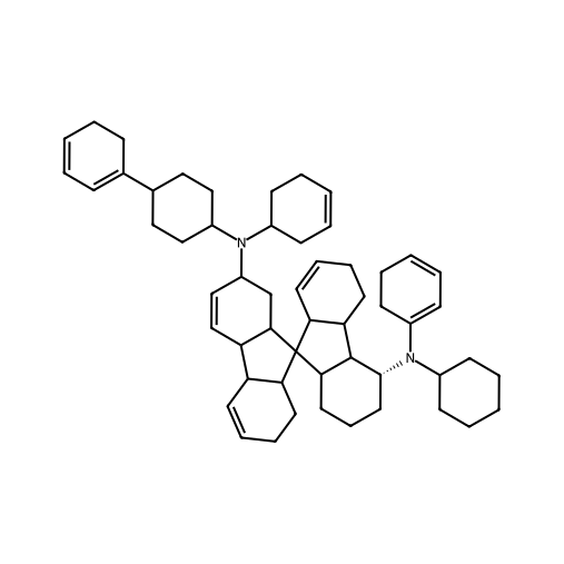 C1=CCCC(C2CCC(N(C3C=CC4C5C=CCCC5C5(C6C=CCCC6C6C5CCC[C@H]6N(C5=CC=CCC5)C5CCCCC5)C4C3)C3CC=CCC3)CC2)=C1